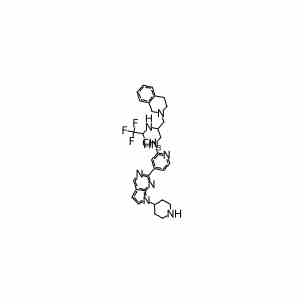 CC(NC(CNc1cc(-c2ncc3ccn(C4CCNCC4)c3n2)ccn1)CN1CCc2ccccc2C1)C(F)(F)F